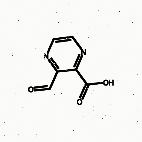 O=Cc1nccnc1C(=O)O